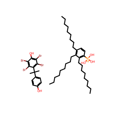 CC(C)(c1ccc(O)cc1)c1c(Br)c(Br)c(O)c(Br)c1Br.CCCCCCCCCc1ccc([PH](O)(O)O)c(CCCCCCCCC)c1CCCCCCCCC